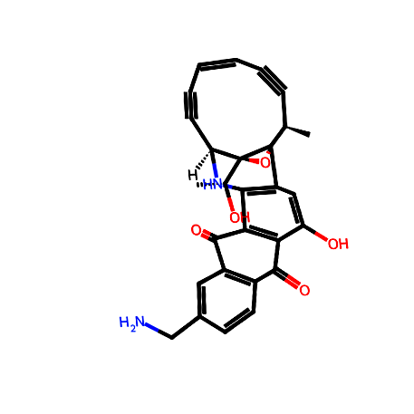 C[C@@H]1C#C/C=C\C#C[C@@H]2Nc3c(cc(O)c4c3C(=O)c3cc(CN)ccc3C4=O)[C@]13O[C@@]23[C@@H](C)O